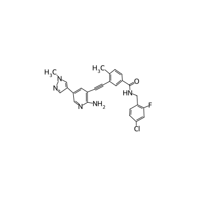 Cc1ccc(C(=O)NCc2ccc(Cl)cc2F)cc1C#Cc1cc(-c2cnn(C)c2)cnc1N